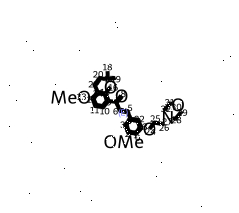 COc1ccc(/C=C/C(=O)c2ccc(OC)c3c2OC(C)(C)C=C3)cc1OCCN1CCOCC1